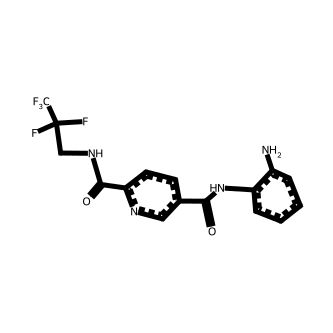 Nc1ccccc1NC(=O)c1ccc(C(=O)NCC(F)(F)C(F)(F)F)nc1